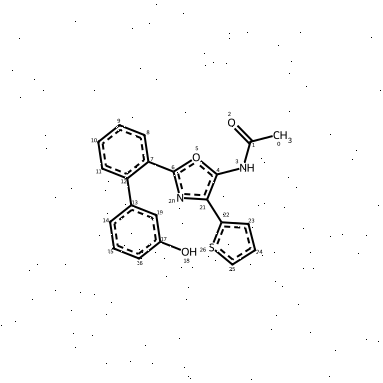 CC(=O)Nc1oc(-c2ccccc2-c2cccc(O)c2)nc1-c1cccs1